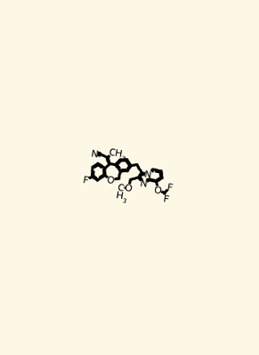 COCc1nc2c(OC(F)F)cccn2c1Cc1ccc2c(c1)COc1cc(F)ccc1C2=C(C)C#N